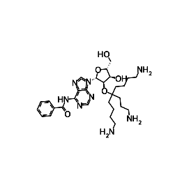 NCCCCC(CCCN)(CCCCN)O[C@@H]1[C@H](O)[C@@H](CO)O[C@H]1n1cnc2c(NC(=O)c3ccccc3)ncnc21